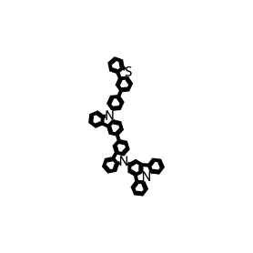 c1ccc2c(c1)sc1ccc(-c3ccc(-n4c5ccccc5c5cc(-c6ccc7c(c6)c6ccccc6n7-c6cc7c8ccccc8n8c9ccccc9c(c6)c78)ccc54)cc3)cc12